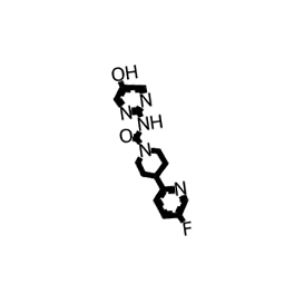 O=C(Nc1ncc(O)cn1)N1CCC(c2ccc(F)cn2)CC1